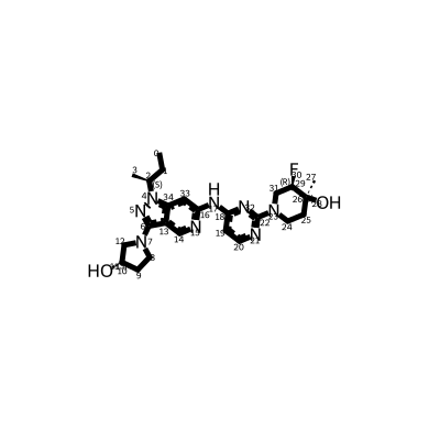 CC[C@H](C)n1nc(N2CC[C@H](O)C2)c2cnc(Nc3ccnc(N4CC[C@](C)(O)[C@H](F)C4)n3)cc21